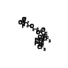 O=C(OCCOCCS(=O)(=O)F)C(F)(OC(F)(F)C(F)(F)C(F)(F)F)C(F)(F)F